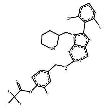 O=C(Oc1ccc(CNc2ncc3nc(-c4c(Cl)cccc4Cl)n(CC4CCCNC4)c3n2)cc1F)C(F)(F)F